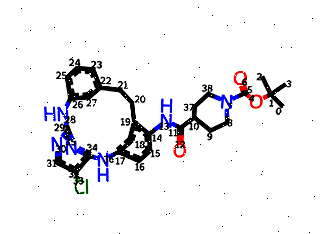 CC(C)(C)OC(=O)N1CCC(C(=O)Nc2ccc3cc2CCc2cccc(c2)Nc2ncc(Cl)c(n2)N3)CC1